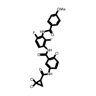 COc1ccc(C(=O)Nc2c(F)ccc(NC(=O)c3cc(NC(=O)C4CC4(Cl)Cl)ccc3Cl)c2F)cc1